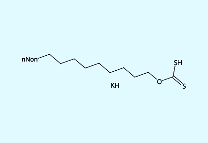 CCCCCCCCCCCCCCCCCCOC(=S)S.[KH]